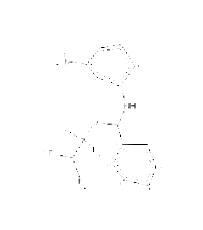 O=[N+]([O-])c1cccc(NC(OC(F)(F)C(F)F)c2ccccc2)c1